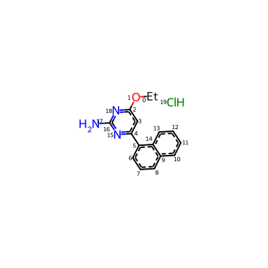 CCOc1cc(-c2cccc3ccccc23)nc(N)n1.Cl